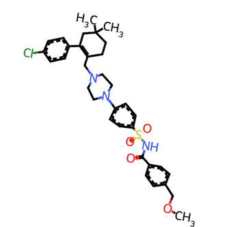 COCc1ccc(C(=O)NS(=O)(=O)c2ccc(N3CCN(CC4=C(c5ccc(Cl)cc5)CC(C)(C)CC4)CC3)cc2)cc1